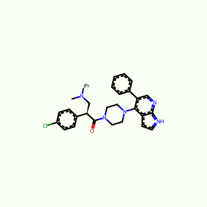 CC(C)N(C)C[C@@H](C(=O)N1CCN(c2c(-c3ccccc3)cnc3[nH]ccc23)CC1)c1ccc(Cl)cc1